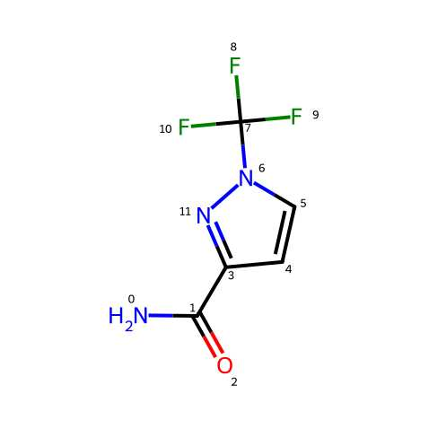 NC(=O)c1ccn(C(F)(F)F)n1